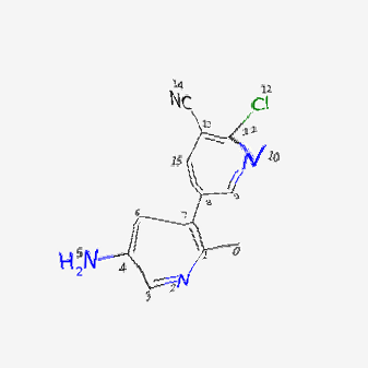 Cc1ncc(N)cc1-c1cnc(Cl)c(C#N)c1